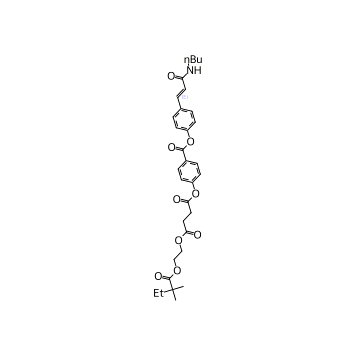 CCCCNC(=O)/C=C/c1ccc(OC(=O)c2ccc(OC(=O)CCC(=O)OCCOC(=O)C(C)(C)CC)cc2)cc1